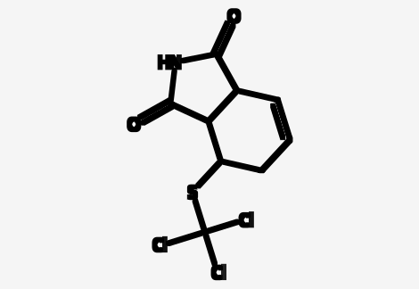 O=C1NC(=O)C2C(SC(Cl)(Cl)Cl)CC=CC12